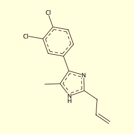 C=CCc1nc(-c2ccc(Cl)c(Cl)c2)c(C)[nH]1